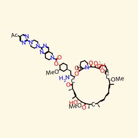 CO[C@H]1C[C@@H]2CC[C@@H](C)[C@@](O)(O2)C(=O)C(=O)N2CCCC[C@H]2C(=O)O[C@H]([C@H](N)C[C@@H]2CC[C@@H](OC(=O)N3CCc4nc(N5CCN(c6ncc(C(C)=O)cn6)CC5)ncc4C3)[C@H](OC)C2)CC(=O)[C@H](C)/C=C(\C)[C@@H](O)[C@@H](OC)C(=O)[C@H](C)C[C@H](C)/C=C/C=C/C=C/1C